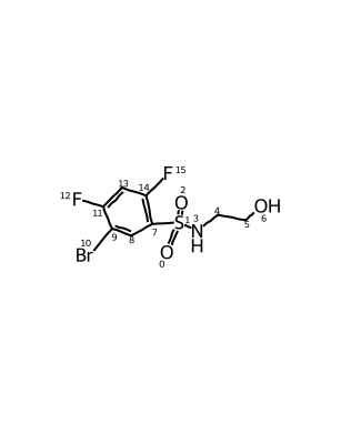 O=S(=O)(NCCO)c1cc(Br)c(F)cc1F